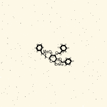 CO[C@H]1O[C@H](COCc2ccccc2)[C@H](OC)[C@H](OCc2ccccc2)[C@H]1OCc1ccccc1